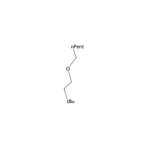 CCCCCCOCCC(C)(C)C